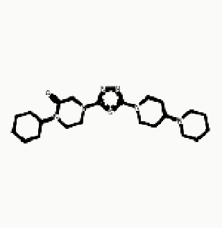 O=C1CN(c2nnc(N3CCC(N4CCCCC4)CC3)s2)CCN1C1CCCCC1